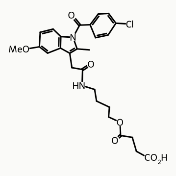 COc1ccc2c(c1)c(CC(=O)NCCCCOC(=O)CCC(=O)O)c(C)n2C(=O)c1ccc(Cl)cc1